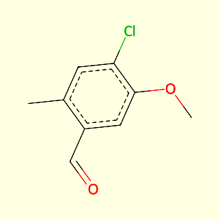 COc1cc(C=O)c(C)cc1Cl